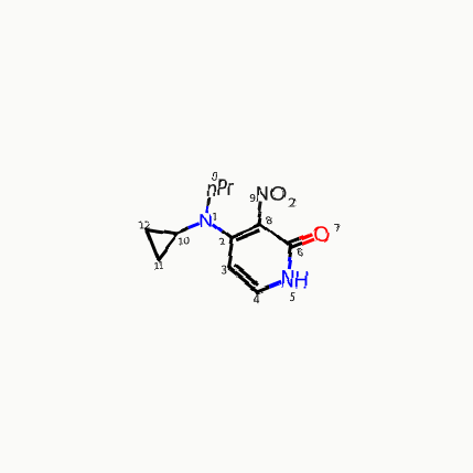 CCCN(c1cc[nH]c(=O)c1[N+](=O)[O-])C1CC1